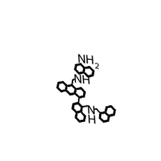 Nc1ccc(NCc2c3ccccc3cc3c(-c4ccc5ccccc5c4CNCc4cccc5ccccc45)cccc23)c2ccccc12